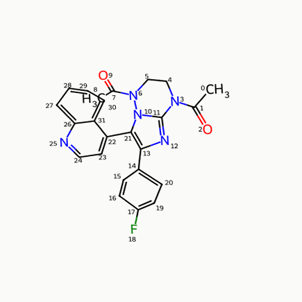 CC(=O)N1CCN(C(C)=O)n2c1nc(-c1ccc(F)cc1)c2-c1ccnc2ccccc12